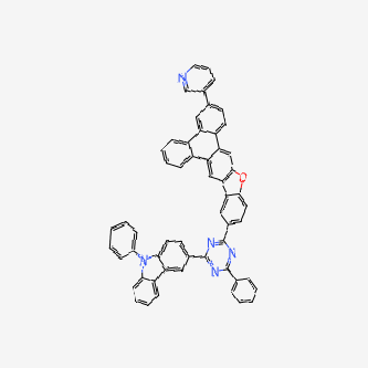 c1ccc(-c2nc(-c3ccc4oc5cc6c7ccc(-c8cccnc8)cc7c7ccccc7c6cc5c4c3)nc(-c3ccc4c(c3)c3ccccc3n4-c3ccccc3)n2)cc1